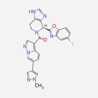 Cn1cc(-c2ccc3c(C(=O)N4CCc5[nH]cnc5[C@H]4c4nc5cc(F)ccc5o4)cnn3c2)cn1